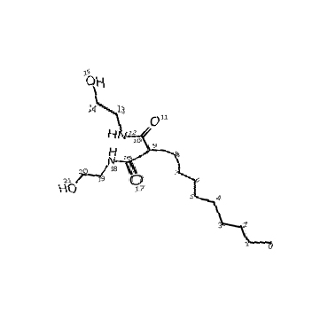 CCCCCCCCCC(C(=O)NCCO)C(=O)NCCO